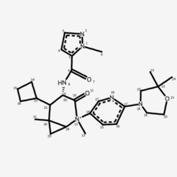 Cn1nccc1C(=O)N[C@@H]1C(=O)[N+](C)(c2ccc(N3CCOC(C)(C)C3)nc2)C2CC2(C)C1C1CCC1